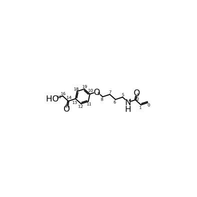 C=CC(=O)NCCCCOc1ccc(C(=O)CO)cc1